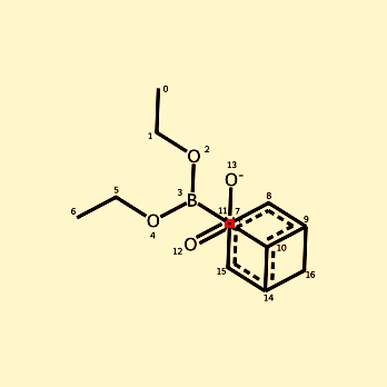 CCOB(OCC)c1cc2c([N+](=O)[O-])c(c1)C2